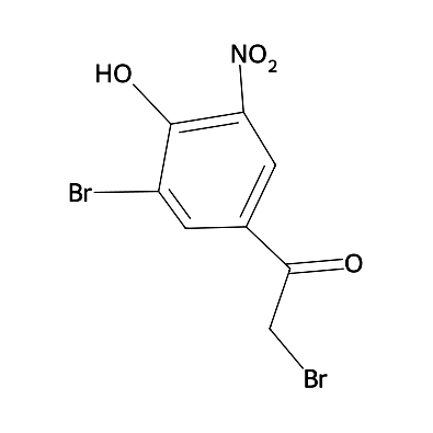 O=C(CBr)c1cc(Br)c(O)c([N+](=O)[O-])c1